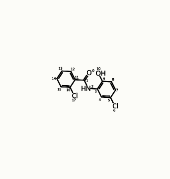 O=C(Nc1cc(Cl)ccc1O)c1ccccc1Cl